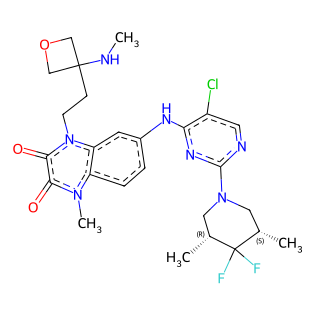 CNC1(CCn2c(=O)c(=O)n(C)c3ccc(Nc4nc(N5C[C@@H](C)C(F)(F)[C@@H](C)C5)ncc4Cl)cc32)COC1